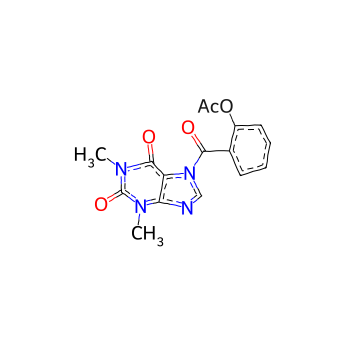 CC(=O)Oc1ccccc1C(=O)n1cnc2c1c(=O)n(C)c(=O)n2C